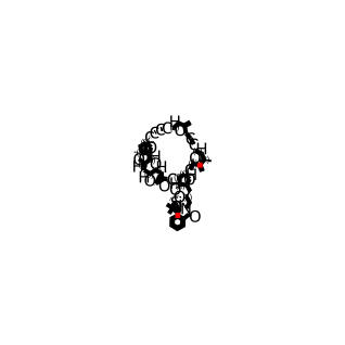 C=C1C[C@@H]2CCCC[C@@]34C[C@]5(C)O[C@H]6C(O3)[C@H]3OC(CC[C@@H]3O[C@H]6C5O4)CC(=O)C[C@H]3[C@H](C[C@H]4O[C@@H](CCC1O2)C[C@@H](C)C4=C)OC(C[C@@H](CN1C(=O)c2ccccc2C1=O)O[Si](C)(C)C(C)(C)C)[C@@H]3OC